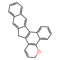 C1=Cc2c3c(c4ccccc4c2OC1)-c1cc2ccccc2cc1C3